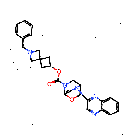 O=C(OC1CC2(C1)CN(Cc1ccccc1)C2)N1CC2COC1=CN2c1cnc2ccccc2n1